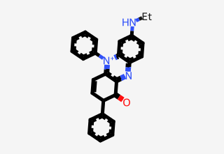 CCNc1ccc2nc3c([n+](-c4ccccc4)c2c1)C=CC(c1ccccc1)C3=O